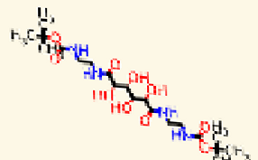 CC(C)(C)OC(=O)NCCNC(=O)[C@@H](O)[C@H](O)[C@H](O)[C@@H](O)C(=O)NCCNC(=O)OC(C)(C)C